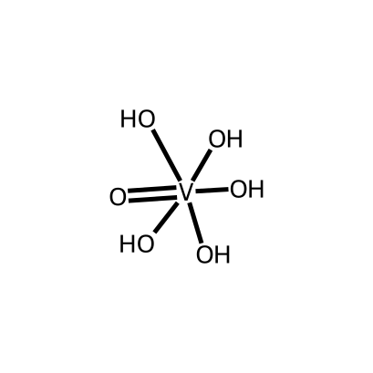 [O]=[V]([OH])([OH])([OH])([OH])[OH]